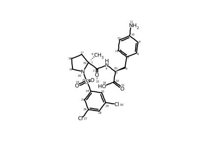 C[C@@]1(C(=O)N[C@@H](Cc2ccc(N)cc2)C(=O)O)CCCN1S(=O)(=O)c1cc(Cl)cc(Cl)c1